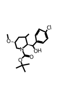 CO[C@@H]1CC(C)[C@@H](C(O)c2ccc(Cl)cc2)N(C(=O)OC(C)(C)C)C1